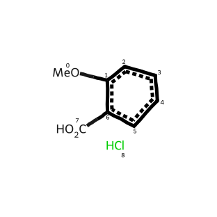 COc1ccccc1C(=O)O.Cl